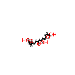 O=C(/C=C(O)/C=C/c1ccc(O)o1)/C=C/c1ccc(O)o1